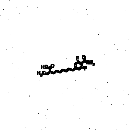 CCC(CCCCC=CCc1cc(F)c(C(N)=O)c(F)c1)C(=O)O